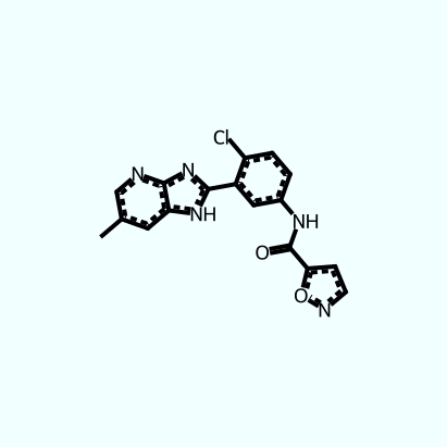 Cc1cnc2nc(-c3cc(NC(=O)c4ccno4)ccc3Cl)[nH]c2c1